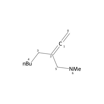 C=C=C(CCCCC)CNC